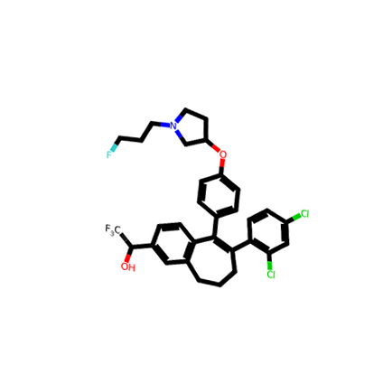 OC(c1ccc2c(c1)CCCC(c1ccc(Cl)cc1Cl)=C2c1ccc(OC2CCN(CCCF)C2)cc1)C(F)(F)F